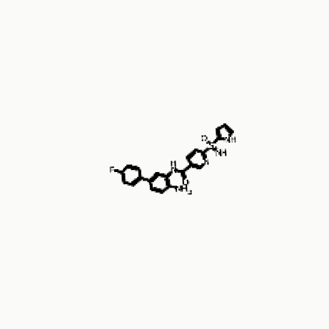 N=S(=O)(c1ccc(C(=O)Nc2cc(-c3ccc(F)cc3)ccc2N)cn1)c1ccc[nH]1